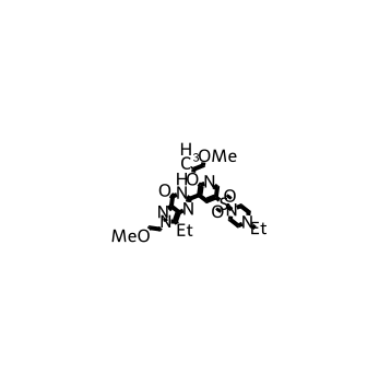 CCc1c2nc(-c3cc(S(=O)(=O)N4CCN(CC)CC4)cnc3O[C@H](C)COC)[nH]c(=O)c2nn1CCOC